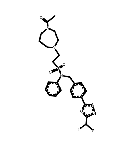 CC(=O)N1CCCN(CCS(=O)(=O)N(Cc2ccc(-c3nnc(C(F)F)o3)cc2)c2ccccc2)CC1